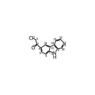 O=C(CCl)c1ccc2[nH]c3cnccc3c2c1